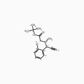 CN(CC(=O)OC(C)(C)C)C(C#N)c1ccccc1Cl